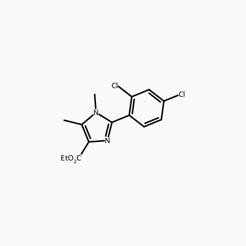 CCOC(=O)c1nc(-c2ccc(Cl)cc2Cl)n(C)c1C